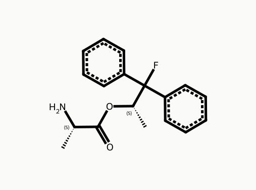 C[C@H](N)C(=O)O[C@@H](C)C(F)(c1ccccc1)c1ccccc1